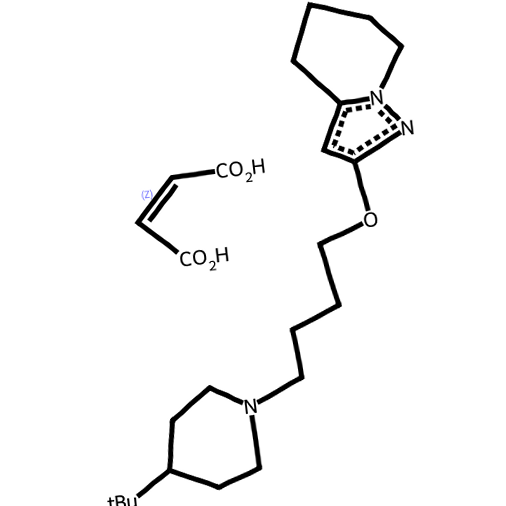 CC(C)(C)C1CCN(CCCCOc2cc3n(n2)CCCC3)CC1.O=C(O)/C=C\C(=O)O